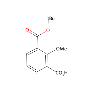 COc1c(C(=O)O)[c]ccc1C(=O)OC(C)(C)C